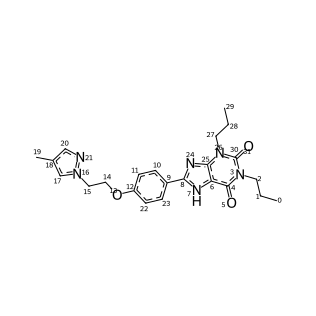 CCCn1c(=O)c2[nH]c(-c3ccc(OCCn4cc(C)cn4)cc3)nc2n(CCC)c1=O